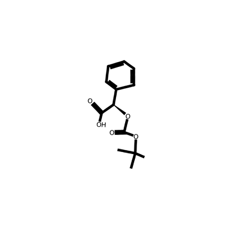 CC(C)(C)OC(=O)O[C@@H](C(=O)O)c1ccccc1